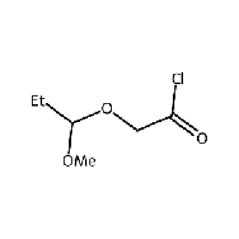 CCC(OC)OCC(=O)Cl